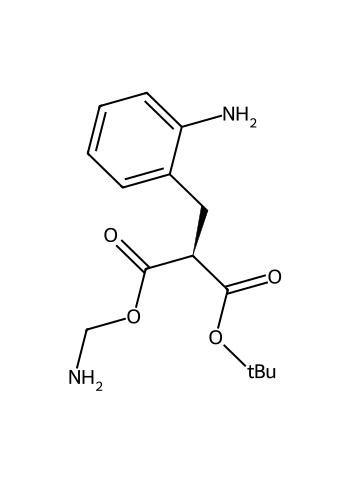 CC(C)(C)OC(=O)[C@H](Cc1ccccc1N)C(=O)OCN